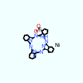 [Ni].[O]=[Ti](=[O])[c]1cccc2c3nc4nc(nc5[nH]c(nc6nc(nc([nH]3)c12)-c1ccccc1-6)c1ccccc51)-c1ccccc1-4